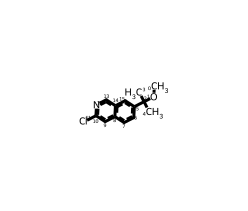 COC(C)(C)c1ccc2cc(Cl)ncc2c1